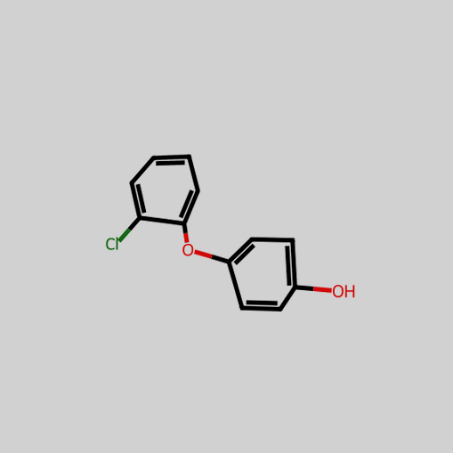 Oc1ccc(Oc2ccccc2Cl)cc1